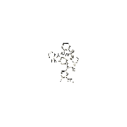 Cc1ccc(NC(=O)[C@H]2CCCN(S(=O)(=O)c3ccccc3OC(F)(F)F)[C@H]2c2ccc(NC3CCCC3)cc2)cc1C(F)(F)F